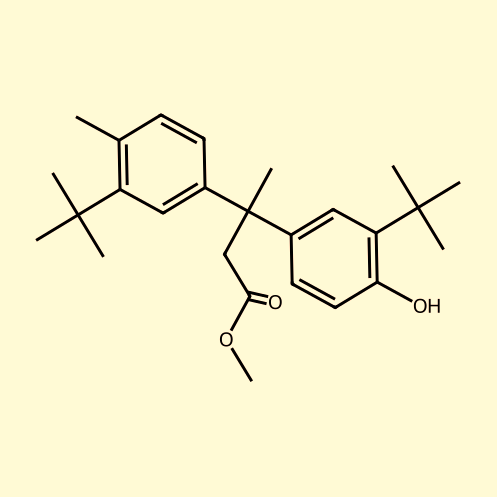 COC(=O)CC(C)(c1ccc(C)c(C(C)(C)C)c1)c1ccc(O)c(C(C)(C)C)c1